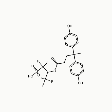 CC(CCC(=O)OC(C(F)(F)F)C(F)(F)S(=O)(=O)O)(c1ccc(O)cc1)c1ccc(O)cc1